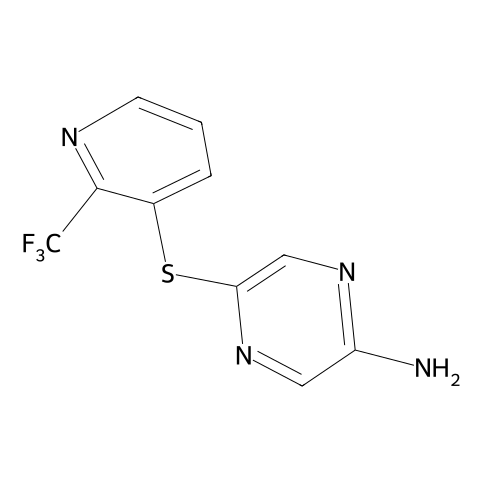 Nc1cnc(Sc2cccnc2C(F)(F)F)cn1